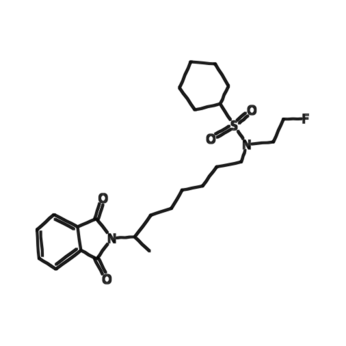 CC(CCCCCCN(CCF)S(=O)(=O)C1CCCCC1)N1C(=O)c2ccccc2C1=O